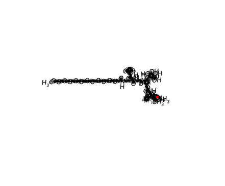 CCOCc1nc2c(NC(=O)OCc3ccc(O[C@@H]4O[C@H](C(=O)O)[C@@H](O)[C@H](O)[C@H]4O)c(NC(=O)CCNC(=O)[C@H](CCCCNC(=O)CCOCCOCCOCCOCCOCCOCCOCCOCCOCCOCCOCCOC)NC(=O)CCN4C(=O)C=CC4=O)c3)nc3ccccc3c2n1CC(C)(C)O